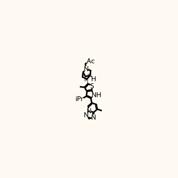 CC(=O)CN1C[C@@H]2CC1C[C@H]2c1sc2[nH]c(-c3cc(C)c4ncnn4c3)c(C(C)C)c2c1C